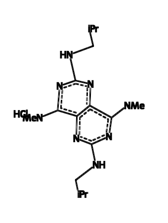 CNc1nc(NCC(C)C)nc2c(NC)nc(NCC(C)C)nc12.Cl